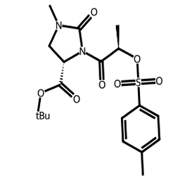 Cc1ccc(S(=O)(=O)O[C@H](C)C(=O)N2C(=O)N(C)C[C@H]2C(=O)OC(C)(C)C)cc1